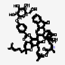 COC(=O)/C(C)=C\CC1(O)C(=O)C2CC(C(C)C)C13Oc1c(CC=C(C)C)c4c(c(OC(=O)c5ccc(O[C@H]6O[C@@H](CO)[C@H](O)[C@@H](O)[C@@H]6O)cc5)c1C1=C3C2C2C(=O)c3ccccc3C2=N1)C=CC(C)(CCC=C(C)C)O4